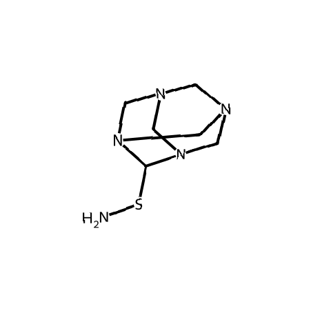 NSC1N2CN3CN(C2)CN1C3